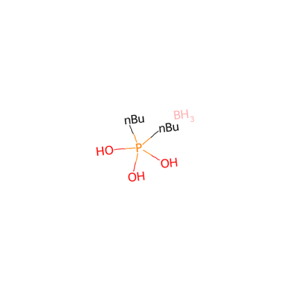 B.CCCCP(O)(O)(O)CCCC